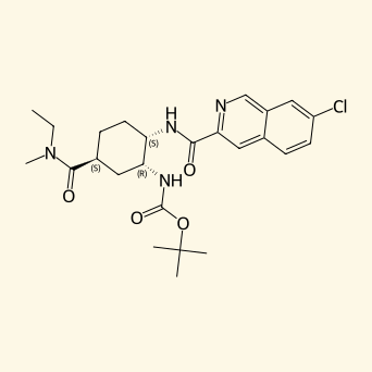 CCN(C)C(=O)[C@H]1CC[C@H](NC(=O)c2cc3ccc(Cl)cc3cn2)[C@H](NC(=O)OC(C)(C)C)C1